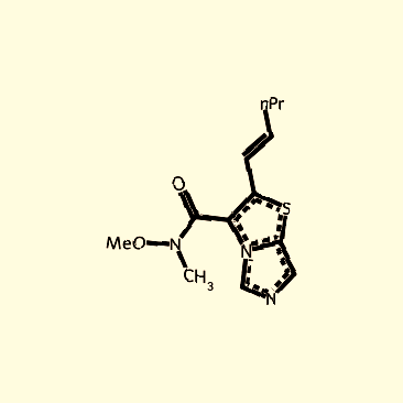 CCCC=Cc1sc2cncn2c1C(=O)N(C)OC